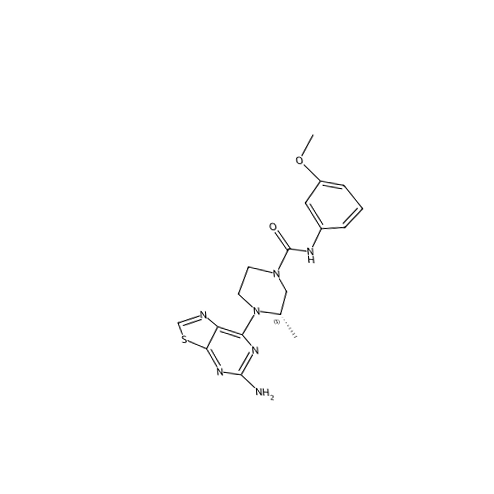 COc1cccc(NC(=O)N2CCN(c3nc(N)nc4scnc34)[C@@H](C)C2)c1